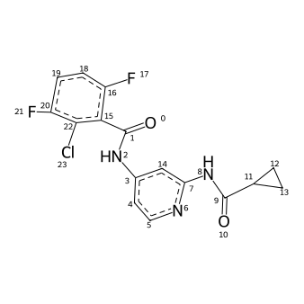 O=C(Nc1ccnc(NC(=O)C2CC2)c1)c1c(F)ccc(F)c1Cl